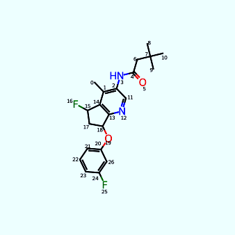 Cc1c(NC(=O)CC(C)(C)C)cnc2c1C(F)CC2Oc1cccc(F)c1